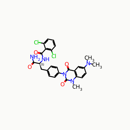 CN(C)c1ccc2c(c1)c(=O)n(-c1ccc(C[C@H](NC(=O)c3c(Cl)cccc3Cl)C(N)=O)cc1)c(=O)n2C